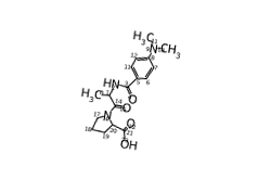 CC(NC(=O)c1ccc(N(C)C)cc1)C(=O)N1CCCC1C(=O)O